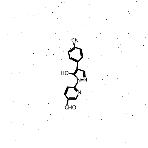 N#Cc1ccc(-c2cnn(-c3ccc(C=O)cn3)c2O)cc1